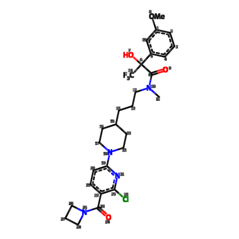 COc1cccc(C(O)(C(=O)N(C)CCCC2CCN(c3ccc(C(=O)N4CCC4)c(Cl)n3)CC2)C(F)(F)F)c1